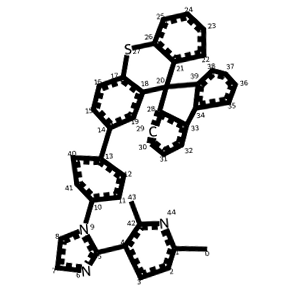 Cc1ccc(-c2nccn2-c2ccc(-c3ccc4c(c3)C3(c5ccccc5S4)c4ccccc4-c4ccccc43)cc2)c(C)n1